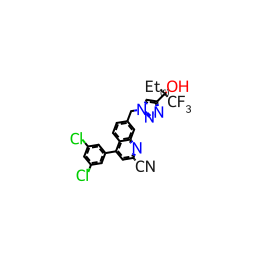 CC[C@](O)(c1cn(Cc2ccc3c(-c4cc(Cl)cc(Cl)c4)cc(C#N)nc3c2)nn1)C(F)(F)F